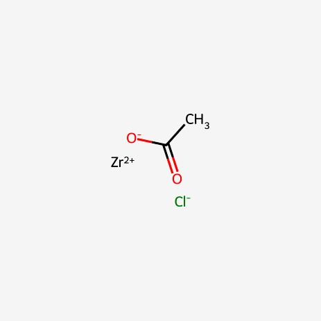 CC(=O)[O-].[Cl-].[Zr+2]